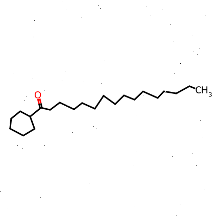 CCCCCCCCCCCCCCCC(=O)C1CCCCC1